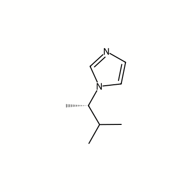 CC(C)[C@H](C)n1ccnc1